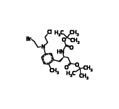 Cc1ccc(N(CCCl)CCBr)cc1C[C@H](CC(=O)OC(C)(C)C)NC(=O)OC(C)(C)C